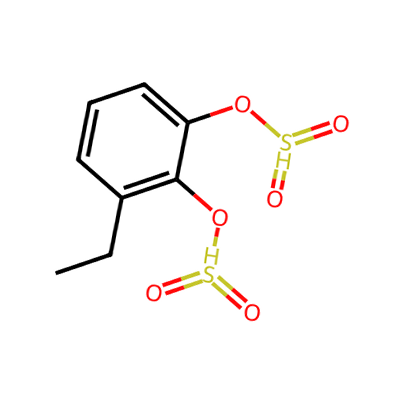 CCc1cccc(O[SH](=O)=O)c1O[SH](=O)=O